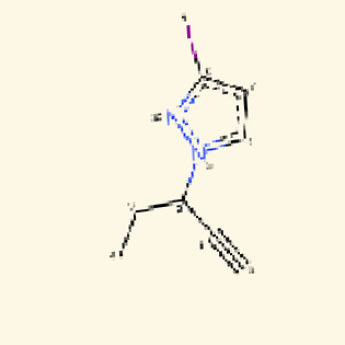 C#CC(CC)n1ccc(I)n1